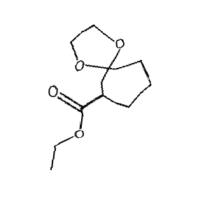 CCOC(=O)C1CCCC12OCCO2